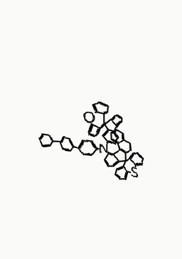 c1ccc(-c2ccc(-c3ccc(N(c4ccc5c(c4)C4(c6ccccc6Oc6ccccc64)c4ccccc4-5)c4cccc5c4-c4c(ccc6ccccc46)C54c5ccccc5Sc5ccccc54)cc3)cc2)cc1